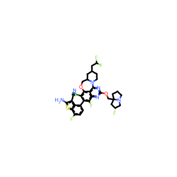 N#Cc1c(N)sc2c(F)ccc(-c3c(Cl)c4c5c(nc(OCC67CCCN6C[C@H](F)C7)nc5c3F)N3CCC(CC(F)F)CC3CO4)c12